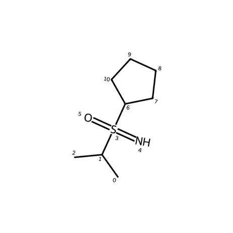 CC(C)S(=N)(=O)C1CCCC1